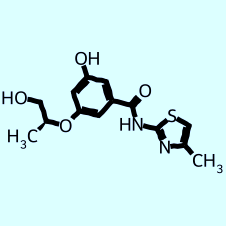 Cc1csc(NC(=O)c2cc(O)cc(O[C@@H](C)CO)c2)n1